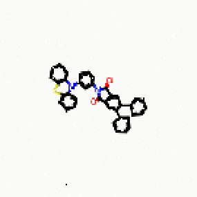 O=C1c2cc(-c3ccccc3)c(-c3ccccc3)cc2C(=O)N1c1cccc(N2c3ccccc3Sc3ccccc32)c1